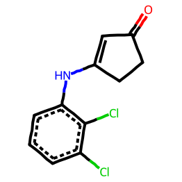 O=C1C=C(Nc2cccc(Cl)c2Cl)CC1